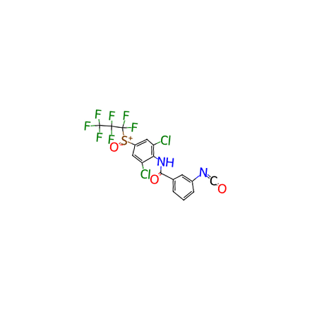 O=C=Nc1cccc(C(=O)Nc2c(Cl)cc([S+]([O-])C(F)(F)C(F)(F)C(F)(F)F)cc2Cl)c1